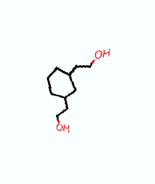 OCCC1CCCC(CCO)C1